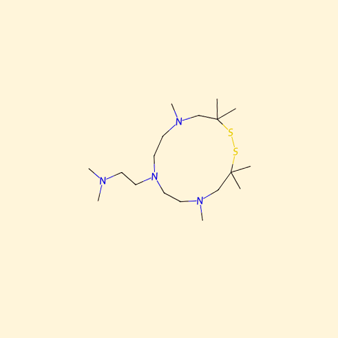 CN(C)CCN1CCN(C)CC(C)(C)SSC(C)(C)CN(C)CC1